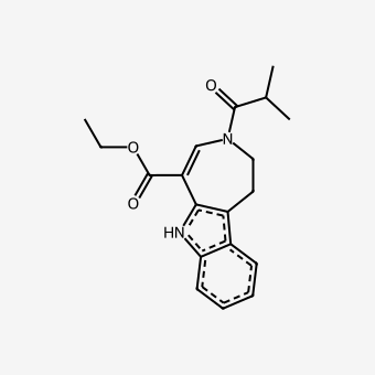 CCOC(=O)C1=CN(C(=O)C(C)C)CCc2c1[nH]c1ccccc21